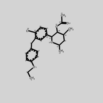 CCOc1ccc(Cc2cc(C3OC(C)CC(C)C3OC(C)=O)ccc2Cl)cc1